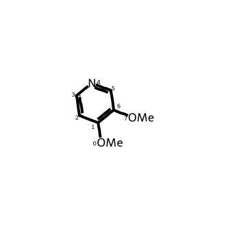 COc1c[c]ncc1OC